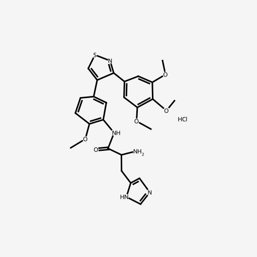 COc1ccc(-c2csnc2-c2cc(OC)c(OC)c(OC)c2)cc1NC(=O)C(N)Cc1cnc[nH]1.Cl